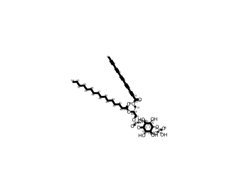 CC#CC#CC#CC#CC#CC(=O)OC[C@H](COP(=O)(O)OC1C(O)[C@H](O)[C@H](OP(=O)(O)O)C(O)[C@@H]1O)OC(=O)CCCCCCCCCCCCCCC